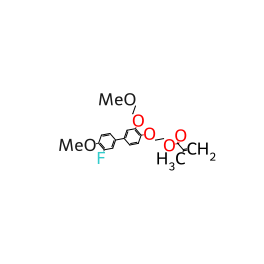 C=C(C)C(=O)OCCOc1ccc(-c2ccc(OC)c(F)c2)cc1OCCOC